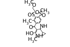 CN/C(O)=C(\C(=N)C1CC1)C(=O)c1ccc(S(C)(=O)=O)c([S+]([O-])CCOC)c1C